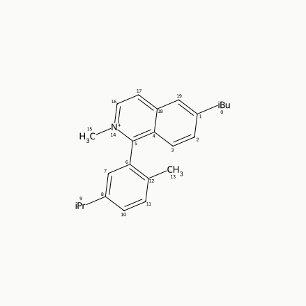 CCC(C)c1ccc2c(-c3cc(C(C)C)ccc3C)[n+](C)ccc2c1